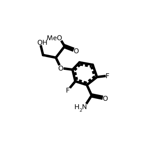 COC(=O)C(CO)Oc1ccc(F)c(C(N)=O)c1F